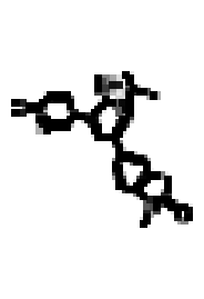 CC(C)N1C=C(c2ccc3c(c2)CC(=O)N3C)C=C(C2C=CC(=O)N=C2)C1N